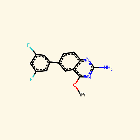 CC(C)Oc1nc(N)nc2ccc(-c3cc(F)cc(F)c3)cc12